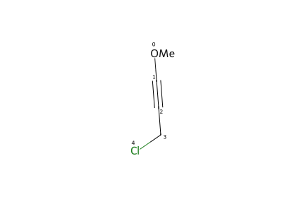 [CH2]OC#CCCl